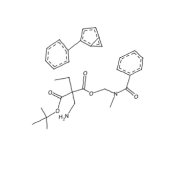 CCC(CN)(C(=O)OCN(C)C(=O)c1ccccc1)C(=O)OC(C)(C)C.c1ccc(-c2ccc3cc2-3)cc1